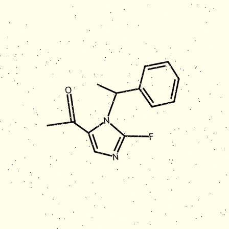 CC(=O)c1cnc(F)n1C(C)c1ccccc1